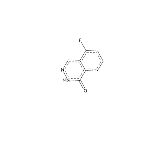 O=c1[nH]ncc2c(F)cccc12